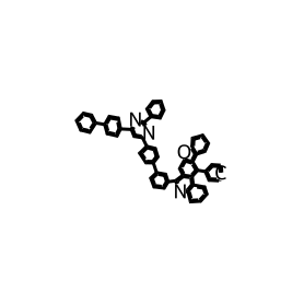 c1ccc(-c2ccc(-c3cc(-c4ccc(-c5cccc(-c6nc7ccccc7c7c(-c8ccccc8)c8c(cc67)oc6ccccc68)c5)cc4)nc(-c4ccccc4)n3)cc2)cc1